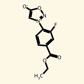 CCOC(=O)c1ccc(-[n+]2cc([O-])on2)c(F)c1